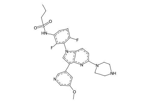 CCCS(=O)(=O)Nc1ccc(F)c(-n2cc(-c3cncc(OC)c3)c3nc(N4CCNCC4)ccc32)c1F